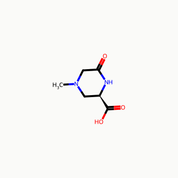 CN1CC(=O)N[C@@H](C(=O)O)C1